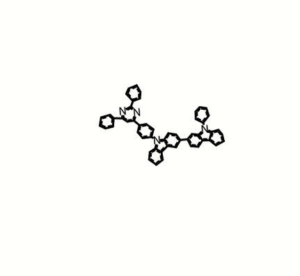 c1ccc(-c2cc(-c3ccc(-n4c5ccccc5c5cc(-c6ccc7c8ccccc8n(-c8ccccc8)c7c6)ccc54)cc3)nc(-c3ccccc3)n2)cc1